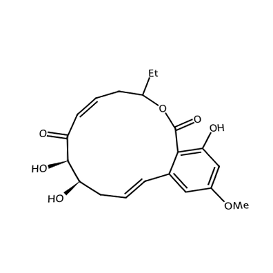 CCC1C/C=C\C(=O)[C@H](O)[C@H](O)C/C=C/c2cc(OC)cc(O)c2C(=O)O1